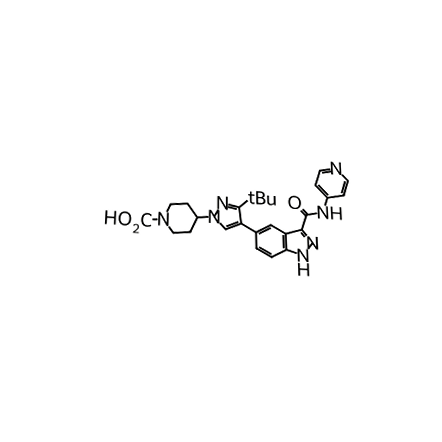 CC(C)(C)c1nn(C2CCN(C(=O)O)CC2)cc1-c1ccc2[nH]nc(C(=O)Nc3ccncc3)c2c1